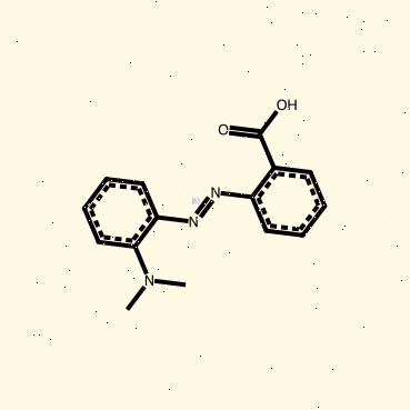 CN(C)c1ccccc1/N=N/c1ccccc1C(=O)O